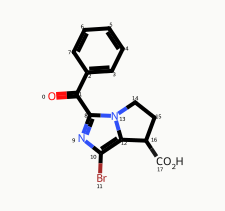 O=C(c1ccccc1)c1nc(Br)c2n1CCC2C(=O)O